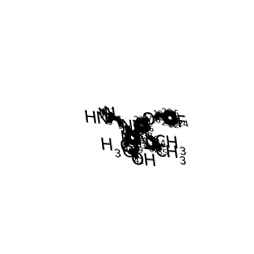 Cc1nc(NCCc2c[nH]cn2)c(-c2ccc(OCCc3ccc(F)cc3)cc2)c(N2CCC(C)(C)CC2)c1CC(=O)O